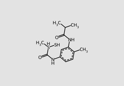 Cc1ccc(NC(=O)[SH](C)S)cc1NC(=O)C(C)C